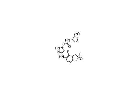 O=C(NC1=CC=C2OCC12)Oc1cc(Nc2ccc3c(c2F)CS(=O)(=O)C3)n[nH]1